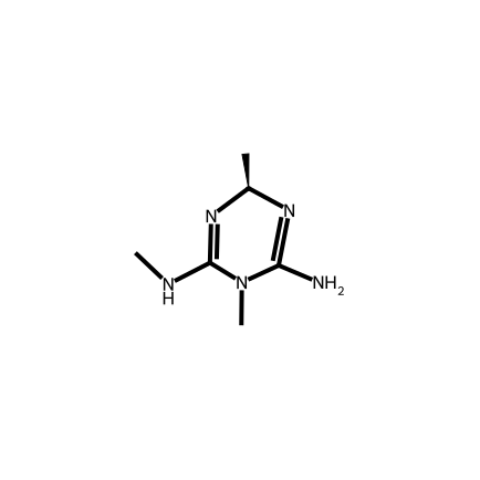 CNC1=N[C@@H](C)N=C(N)N1C